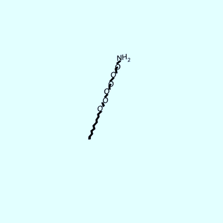 C=CCCCCCCCCCOCCOCCOCCOCCOCCOCCN